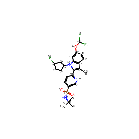 CC(C)(NS(=O)(=O)c1ccc(-c2c(C#N)c3ccc(OC(F)F)cc3n2C2CCC(F)C2)nc1)C(F)(F)F